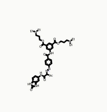 CCN(CC)CCCOC(=O)c1cc(NC(=O)c2ccc(/N=N/C(C(C)=O)C(=O)Nc3ccc4[nH]c(=O)[nH]c4c3)cc2)cc(C(=O)OCCCN(CC)CC)c1